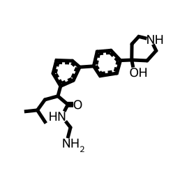 CC(C)CC(C(=O)NCN)c1cccc(-c2ccc(C3(O)CCNCC3)cc2)c1